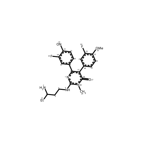 CCC(N)CCNc1nc(-c2ccc(N=O)c(F)c2)c(-c2ccc(OC)c(F)c2)c(=O)n1C